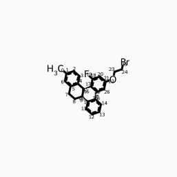 Cc1ccc2c(c1)CC[C@H](c1ccccc1)[C@@H]2c1c(F)cc(OCCBr)cc1F